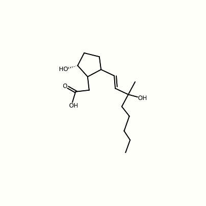 CCCCCC(C)(O)/C=C/C1CC[C@@H](O)C1CC(=O)O